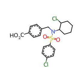 O=C(O)c1ccc(CN(C2CCCCC2Cl)S(=O)(=O)c2ccc(Cl)cc2)cc1